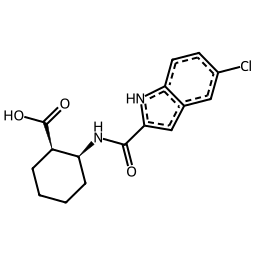 O=C(N[C@H]1CCCC[C@H]1C(=O)O)c1cc2cc(Cl)ccc2[nH]1